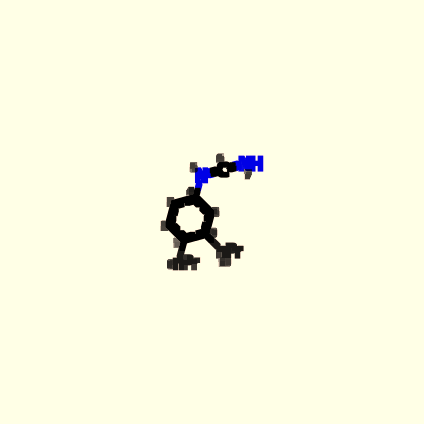 CCCc1ccc(N=C=N)cc1CCC